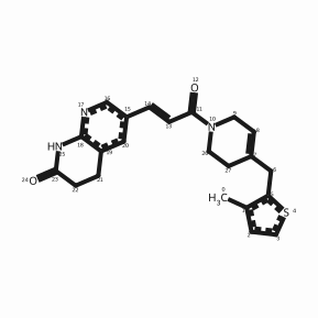 Cc1ccsc1CC1=CCN(C(=O)C=Cc2cnc3c(c2)CCC(=O)N3)CC1